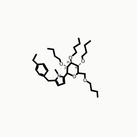 CCCCOCC1OC(c2ccc(Cc3ccc(CC)cc3)n2C)[C@H](OCCCC)[C@@H](OCCCC)[C@@H]1OCCCC